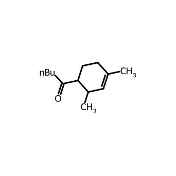 CCCCC(=O)C1CCC(C)=CC1C